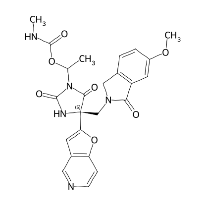 CNC(=O)OC(C)N1C(=O)N[C@@](CN2Cc3ccc(OC)cc3C2=O)(c2cc3cnccc3o2)C1=O